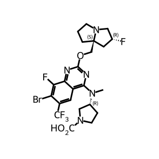 CN(c1nc(OC[C@@]23CCCN2C[C@H](F)C3)nc2c(F)c(Br)c(C(F)(F)F)cc12)[C@@H]1CCN(C(=O)O)C1